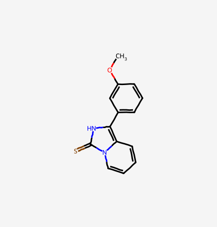 COc1cccc(-c2[nH]c(=S)n3ccccc23)c1